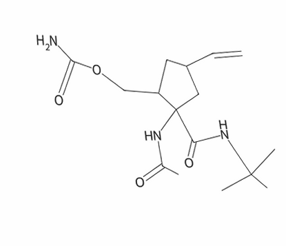 C=CC1CC(COC(N)=O)C(NC(C)=O)(C(=O)NC(C)(C)C)C1